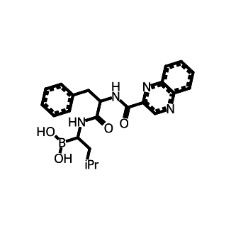 CC(C)CC(NC(=O)C(Cc1ccccc1)NC(=O)c1cnc2ccccc2n1)B(O)O